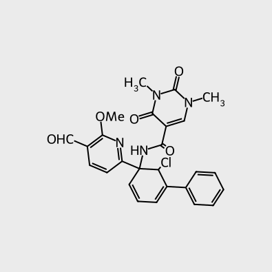 COc1nc(C2(NC(=O)c3cn(C)c(=O)n(C)c3=O)C=CC=C(c3ccccc3)C2Cl)ccc1C=O